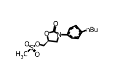 CCCCc1ccc(N2C[C@@H](COS(C)(=O)=O)OC2=O)cc1